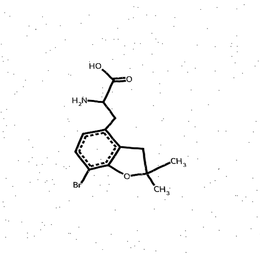 CC1(C)Cc2c(CC(N)C(=O)O)ccc(Br)c2O1